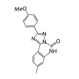 COc1ccc(-c2nc3c4ccc(C)cc4[nH]c(=O)n3n2)cc1